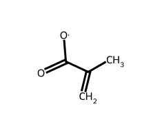 C=C(C)C([O])=O